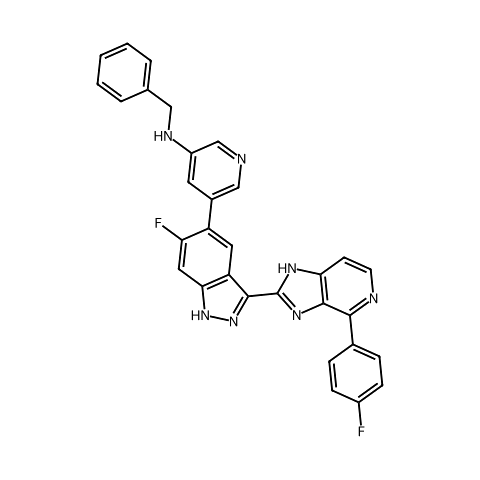 Fc1ccc(-c2nccc3[nH]c(-c4n[nH]c5cc(F)c(-c6cncc(NCc7ccccc7)c6)cc45)nc23)cc1